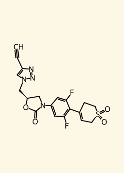 C#Cc1cn(C[C@H]2CN(c3cc(F)c(C4=CCS(=O)(=O)CC4)c(F)c3)C(=O)O2)nn1